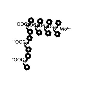 O=C([O-])N(Cc1ccccc1)Cc1ccccc1.O=C([O-])N(Cc1ccccc1)Cc1ccccc1.O=C([O-])N(Cc1ccccc1)Cc1ccccc1.O=C([O-])N(Cc1ccccc1)Cc1ccccc1.O=C([O-])N(Cc1ccccc1)Cc1ccccc1.O=C([O-])N(Cc1ccccc1)Cc1ccccc1.[Mo+6]